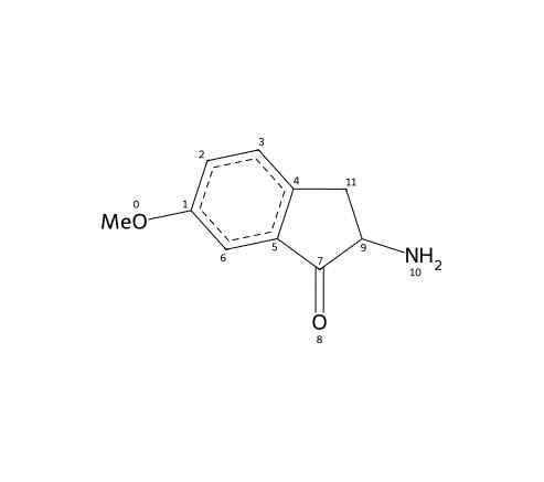 COc1ccc2c(c1)C(=O)C(N)C2